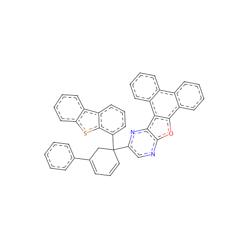 C1=CC(c2cnc3oc4c5ccccc5c5ccccc5c4c3n2)(c2cccc3c2sc2ccccc23)CC(c2ccccc2)=C1